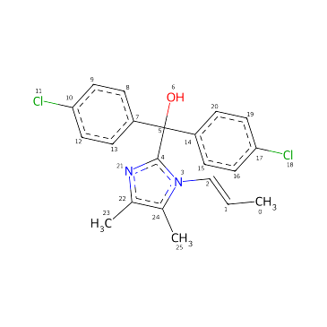 CC=Cn1c(C(O)(c2ccc(Cl)cc2)c2ccc(Cl)cc2)nc(C)c1C